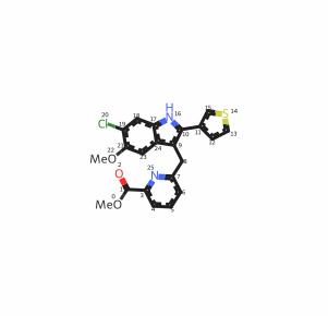 COC(=O)c1cccc(Cc2c(-c3ccsc3)[nH]c3cc(Cl)c(OC)cc23)n1